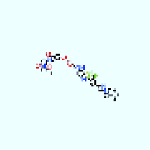 CN1C(=O)CCC(N2Cc3cc(OCCOCCNc4ccc5nc(-c6ccc(-c7ccc(N(C)C)nc7)cc6C(F)(F)F)sc5c4)ccc3C2=O)C1=O